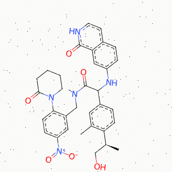 Cc1cc(C(Nc2ccc3cc[nH]c(=O)c3c2)C(=O)N(C)Cc2cc([N+](=O)[O-])ccc2N2CCCCC2=O)ccc1[C@@H](C)CO